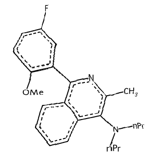 CCCN(CCC)c1c(C)nc(-c2cc(F)ccc2OC)c2ccccc12